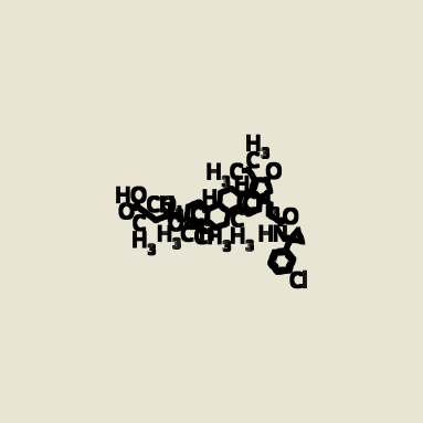 CC(C)C1=C2[C@H]3CC[C@@H]4[C@@]5(C)CC[C@H](OC(=O)CC(C)(C)C(=O)O)C(C)(C)[C@@H]5CC[C@@]4(C)[C@]3(C)CC[C@@]2(C=CC(=O)NC2(c3cccc(Cl)c3)CC2)CC1=O